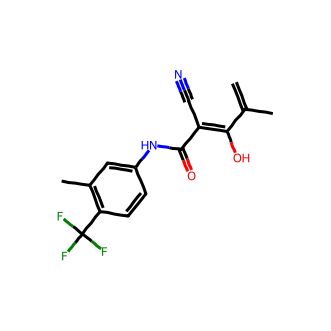 C=C(C)/C(O)=C(\C#N)C(=O)Nc1ccc(C(F)(F)F)c(C)c1